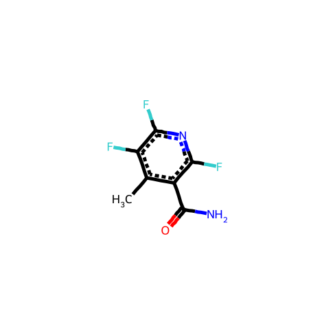 Cc1c(F)c(F)nc(F)c1C(N)=O